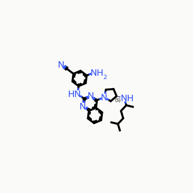 CC(C)CCC(C)N[C@H]1CCN(c2nc(Nc3cc(N)cc(C#N)c3)nc3ccccc23)C1